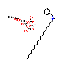 CCCCCCCCCCCCCCCCCC[N+](C)(C)Cc1ccccc1.O.O.O[Si]12O[Si](O)(O1)O[Si]1(O)O[Si](O)(O1)O2.[LiH].[MgH2].[NaH]